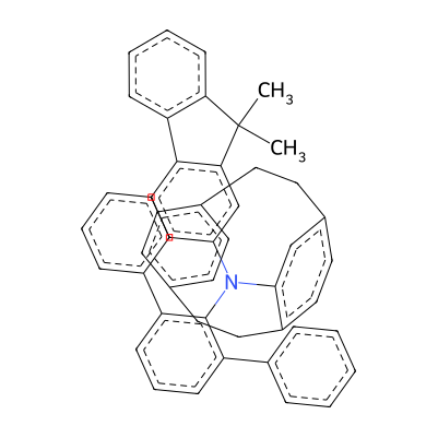 CC1(C)c2ccccc2-c2ccc(N(c3cc4ccc3CCc3ccc(cc3)CC4)c3c(-c4ccccc4)cccc3-c3ccccc3)cc21